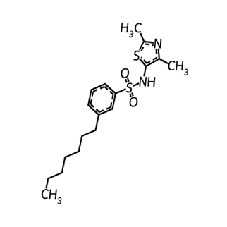 CCCCCCCc1cccc(S(=O)(=O)Nc2sc(C)nc2C)c1